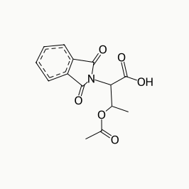 CC(=O)OC(C)C(C(=O)O)N1C(=O)c2ccccc2C1=O